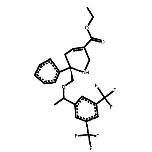 CCOC(=O)C1=CC[C@@](COC(C)c2cc(C(F)(F)F)cc(C(F)(F)F)c2)(c2ccccc2)NC1